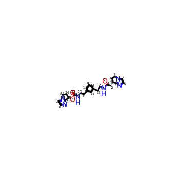 O=C(C[C@@H]1CCn2ccnc21)NCCc1cccc(CCNC(=O)O[C@@H]2CCn3ccnc32)c1